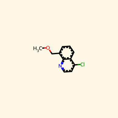 COCc1cccc2c(Cl)ccnc12